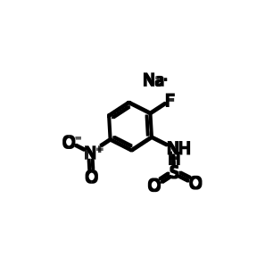 O=[N+]([O-])c1ccc(F)c(N[SH](=O)=O)c1.[Na]